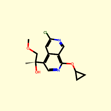 COC[C@](C)(O)c1cnc(OC2CC2)c2cnc(Cl)cc12